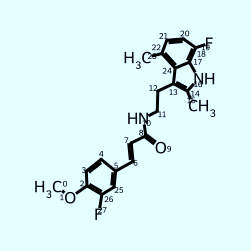 COc1ccc(/C=C/C(=O)NCCc2c(C)[nH]c3c(F)ccc(C)c23)cc1F